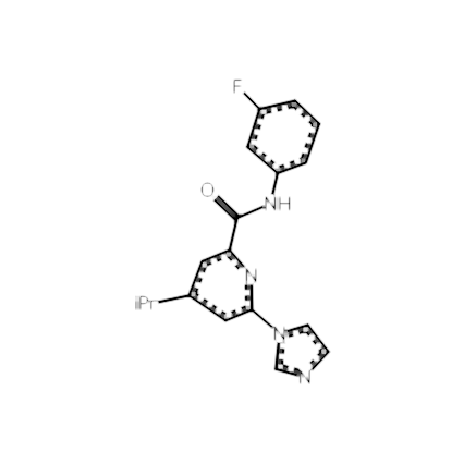 CC(C)c1cc(C(=O)Nc2cccc(F)c2)nc(-n2ccnc2)c1